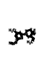 C=CC1CN(c2cc(C)cc(N=[N+]=[N-])n2)CCC1(F)F